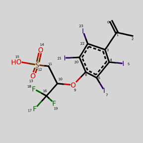 C=C(C)c1c(I)c(I)c(OC(CS(=O)(=O)O)C(F)(F)F)c(I)c1I